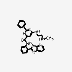 CNCCNc1cc(C(=O)Nc2ccccc2-c2nc3cccnc3s2)nc(-c2ccccc2)n1